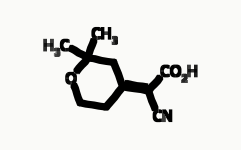 CC1(C)CC(=C(C#N)C(=O)O)CCO1